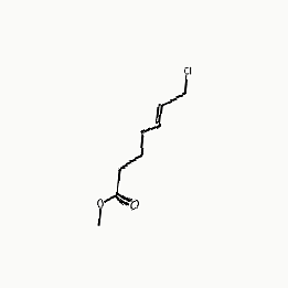 COC(=O)CCCC=CCCl